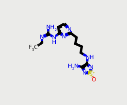 N/C(=N/CC(F)(F)F)Nc1ccnc(CCCCNc2n[s+]([O-])nc2N)n1